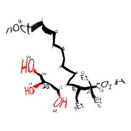 CCCCCCCC/C=C\CCCCCC(CC)C(CC)(CC)C(=O)O.OCC(O)CO